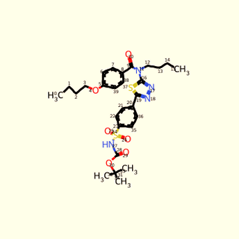 CCCCOc1ccc(C(=O)N(CCCC)c2nnc(-c3ccc(S(=O)(=O)NC(=O)OC(C)(C)C)cc3)s2)cc1